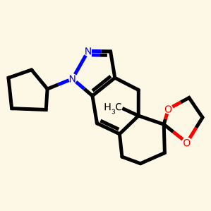 CC12Cc3cnn(C4CCCC4)c3C=C1CCCC21OCCO1